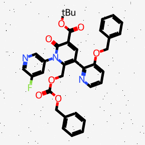 CC(C)(C)OC(=O)c1cc(-c2ncccc2OCc2ccccc2)c(COC(=O)OCc2ccccc2)n(-c2cncc(F)c2)c1=O